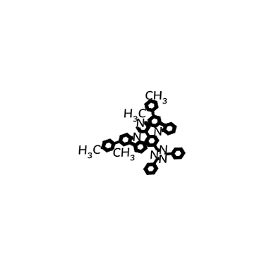 Cc1ccc(-c2ccc3c(c2)c2ccccc2n3-c2cnccc2-c2ccc(-c3nc(-c4ccccc4)nc(-c4ccccc4)n3)cc2-n2c3ccccc3c3cc(-c4ccc(C)cc4C)ccc32)c(C)c1